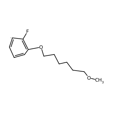 COCCCCCCOc1ccc[c]c1F